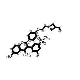 CC1=C(c2cc(F)cc(S(C)(=O)=O)c2)[C@H](c2ccc(OCCN3CC(CF)C3)cc2)Oc2ccc(O)cc21